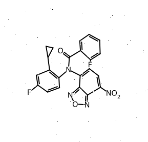 O=C(c1ccccc1F)N(c1ccc(F)cc1C1CC1)c1ccc([N+](=O)[O-])c2nonc12